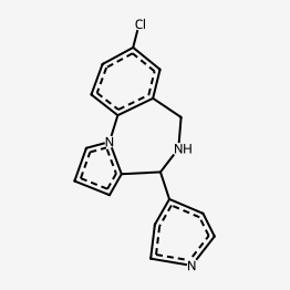 Clc1ccc2c(c1)CNC(c1ccncc1)c1cccn1-2